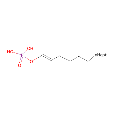 CCCCCCCCCCCC=COP(=O)(O)O